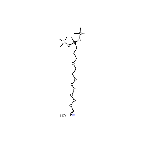 C[Si](C)(C)O[Si](C)(CCCOCCOOOOOO/C=C\O)O[Si](C)(C)C